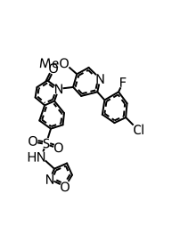 COc1cnc(-c2ccc(Cl)cc2F)cc1-n1c(=O)ccc2cc(S(=O)(=O)Nc3ccon3)ccc21